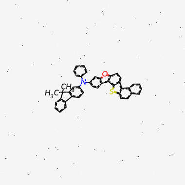 CC1(C)c2ccccc2-c2ccc(N(c3ccccc3)c3ccc4c(c3)oc3ccc5c(sc6ccc7ccccc7c65)c34)cc21